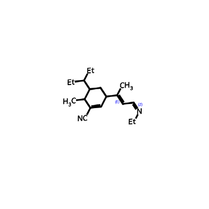 CC/N=C\C=C(/C)C1C=C(C#N)C(C)C(C(CC)CC)C1